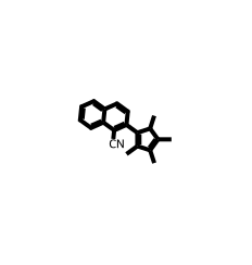 CC1=C(C)C(C)C(c2ccc3ccccc3c2C#N)=C1C